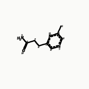 Cc1cncc(CCC(N)=O)n1